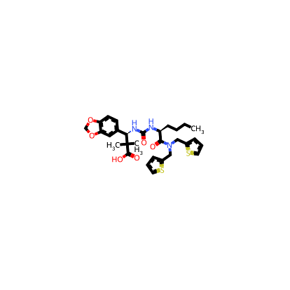 CCCC[C@H](NC(=O)N[C@@H](c1ccc2c(c1)OCO2)C(C)(C)C(=O)O)C(=O)N(Cc1cccs1)Cc1cccs1